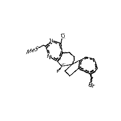 CSc1nc(Cl)c2c(n1)[C@H](F)C1(CCc3c(Br)cccc31)CC2